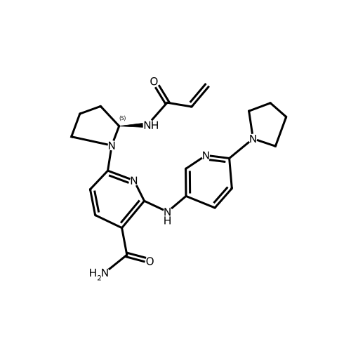 C=CC(=O)N[C@@H]1CCCN1c1ccc(C(N)=O)c(Nc2ccc(N3CCCC3)nc2)n1